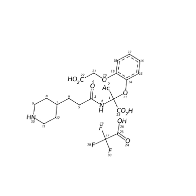 CC(=O)C(NC(=O)CCC1CCNCC1)(Oc1ccccc1OCC(=O)O)C(=O)O.O=C(O)C(F)(F)F